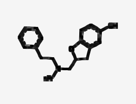 CCCN(CCc1ccccc1)CC1Cc2cc(O)ccc2O1